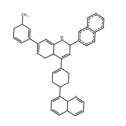 CC1C=C(C2=CCC3C(=C2)NC(c2ccc4ccccc4c2)C=C3C2=CCC(C3=CC=CC4C=CC=NC34)CC2)C=CC1